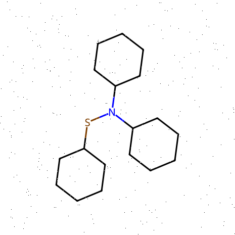 C1CCC(SN(C2CCCCC2)C2CCCCC2)CC1